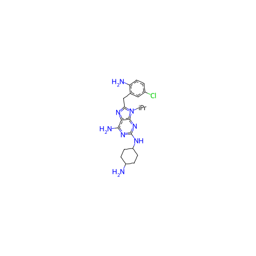 CC(C)n1c(Cc2cc(Cl)ccc2N)nc2c(N)nc(NC3CCC(N)CC3)nc21